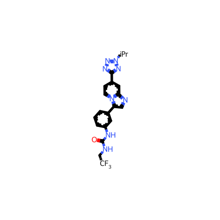 CC(C)n1nnc(-c2ccn3c(-c4cccc(NC(=O)NCC(F)(F)F)c4)cnc3c2)n1